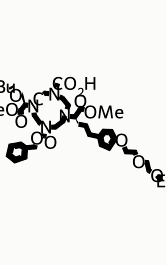 CCOCCOCCOc1ccc(CCC[C@@H](C(=O)OC)N2CCN(C(=O)O)CCN([C@H](COC(C)(C)C)C(=O)OC)CCN(C(=O)OCc3ccccc3)CC2)cc1